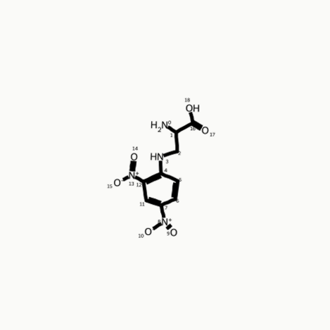 NC(CNc1ccc([N+](=O)[O-])cc1[N+](=O)[O-])C(=O)O